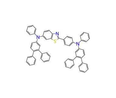 c1ccc(-c2ccc(N(c3ccccc3)c3ccc(-c4nc5ccc(N(c6ccccc6)c6ccc(-c7ccccc7)c(-c7ccccc7)c6)cc5s4)cc3)cc2-c2ccccc2)cc1